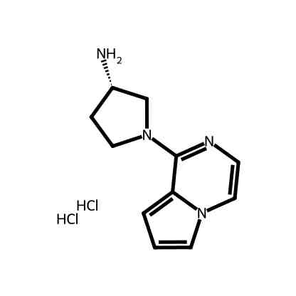 Cl.Cl.N[C@H]1CCN(c2nccn3cccc23)C1